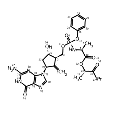 C=C1[C@H](CO[P@@](=O)(N[C@@H](C)C(=O)O[C@@H](C)C(=O)C(C)C)Oc2ccccc2)[C@@H](O)C[C@@H]1n1cnc2c(=O)[nH]c(N)nc21